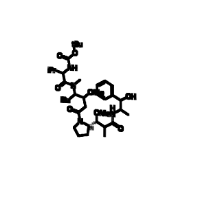 CCC(C)C(C(CC(=O)N1CCC[C@H]1C(OC)C(C)C(=O)NC(C)C(O)c1ccccc1)OC)N(C)C(=O)C(NC(=O)OC(C)(C)C)C(C)C